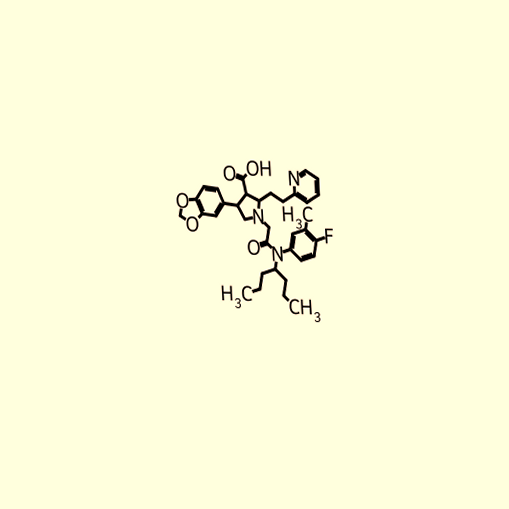 CCCC(CCC)N(C(=O)CN1CC(c2ccc3c(c2)OCO3)C(C(=O)O)C1CCc1ccccn1)c1ccc(F)c(C)c1